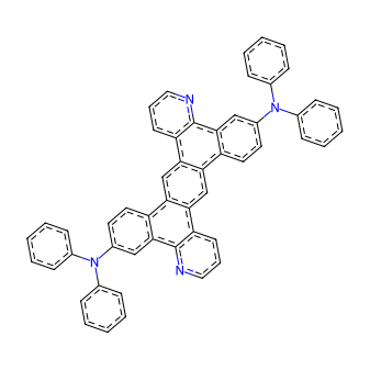 c1ccc(N(c2ccccc2)c2ccc3c4cc5c(cc4c4cccnc4c3c2)c2ccc(N(c3ccccc3)c3ccccc3)cc2c2ncccc52)cc1